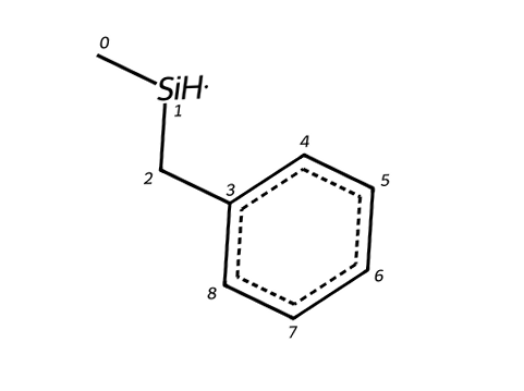 C[SiH]Cc1ccccc1